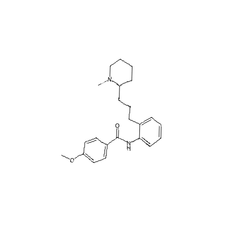 COc1ccc(C(=O)Nc2ccccc2CCCC2CCCCN2C)cc1